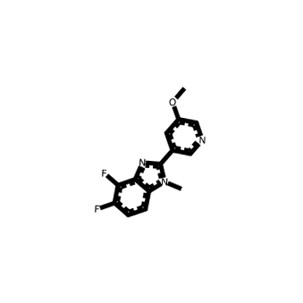 COc1cncc(-c2nc3c(F)c(F)ccc3n2C)c1